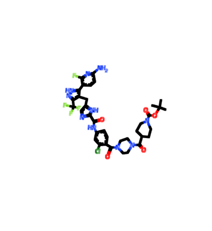 CC(C)(C)OC(=O)N1CCC(C(=O)N2CCN(C(=O)c3ccc(NC(=O)c4ncc(Cc5c(C(F)(F)F)n[nH]c5-c5ccc(N)nc5F)[nH]4)cc3Cl)CC2)CC1